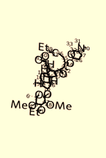 CCO[C@@H]1[C@@H](OC)[C@H](C)O[C@@H](O[C@@H]2C[C@H]3CC[C@@H]4[C@@H](C=C5C(=O)[C@H](C)[C@@H](O[C@H]6CC[C@@H](N(C)C)[C@@H](C)O6)CCC[C@H](CC)OC(=O)C[C@H]54)[C@@H]3C2)[C@@H]1OC